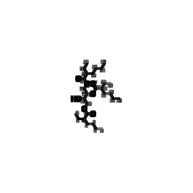 CCCCC(CC)C(=O)OCC(O)C(COC(=O)C(CC)CCCC)OC(=O)C(CC)CCCC